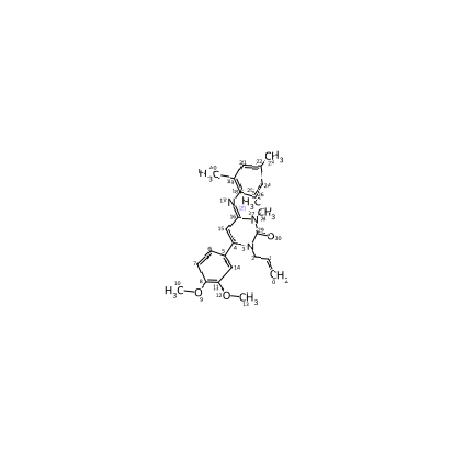 C=CCn1c(-c2ccc(OC)c(OC)c2)c/c(=N/c2c(C)cc(C)cc2C)n(C)c1=O